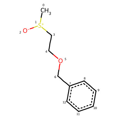 C[S+]([O-])CCOCc1ccccc1